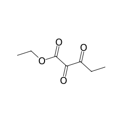 CCOC(=O)C(=O)C(=O)CC